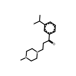 CC(I)c1cccc(C(=O)CCN2CCN(C)CC2)c1